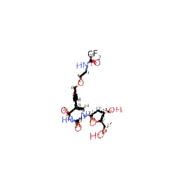 O=C(NCCOCC#Cc1cn([C@H]2C[C@H](O)[C@@H](CO)O2)c(=O)[nH]c1=O)C(F)(F)F